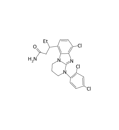 CCC(CC(N)=O)c1ccc(Cl)c2nc3n(c12)CCCN3c1ccc(Cl)cc1Cl